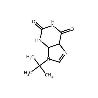 CC(C)(C)N1C=NC2C(=O)NC(=O)NC21